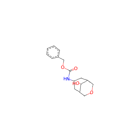 O=C(NC1CC2COCC(C1)C2O)OCc1ccccc1